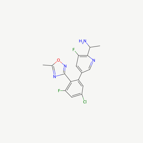 Cc1nc(-c2c(F)cc(Cl)cc2-c2cnc(C(C)N)c(F)c2)no1